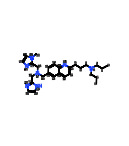 CCCN(CCC)CCCc1ccc2cc(CN(Cc3ncc[nH]3)Cc3nccn3C)ccc2n1